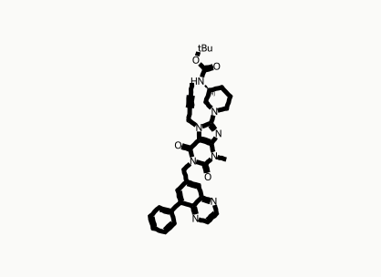 CC#CCn1c(N2CCC[C@@H](NC(=O)OC(C)(C)C)C2)nc2c1c(=O)n(Cc1cc(-c3ccccc3)c3nccnc3c1)c(=O)n2C